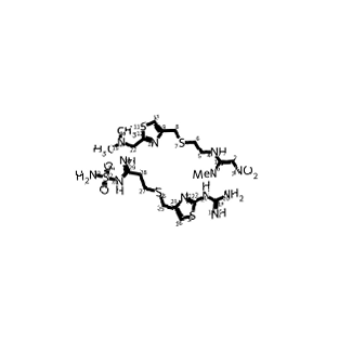 CN/C(=C\[N+](=O)[O-])NCCSCc1csc(CN(C)C)n1.N=C(N)Nc1nc(CSCCC(=N)NS(N)(=O)=O)cs1